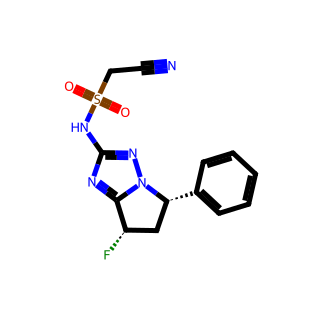 N#CCS(=O)(=O)Nc1nc2n(n1)[C@H](c1ccccc1)C[C@@H]2F